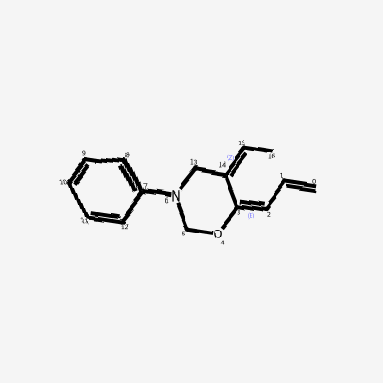 C=C/C=C1/OCN(c2ccccc2)C/C1=C/C